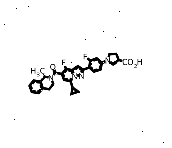 C[C@@H]1c2ccccc2CCN1C(=O)c1cc(C2CC2)n2nc(-c3ccc(N4CCC(C(=O)O)C4)cc3F)cc2c1F